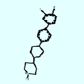 Fc1ccc(-c2ccc(C3CCC(C4CC[SiH](Cl)CC4)CC3)cc2)cc1F